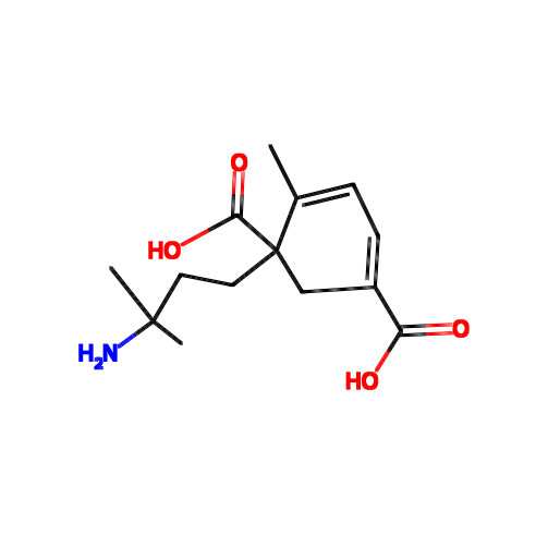 CC1=CC=C(C(=O)O)CC1(CCC(C)(C)N)C(=O)O